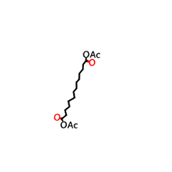 CC(=O)OC(=O)CCCCCCCCCCCCC(=O)OC(C)=O